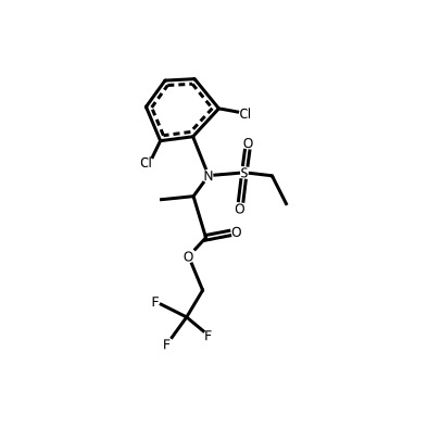 CCS(=O)(=O)N(c1c(Cl)cccc1Cl)C(C)C(=O)OCC(F)(F)F